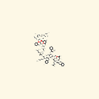 CCCC[C@@H](C(=O)N1C[C@H](O)C[C@@H]1C(=O)N[C@H](C=O)CC(=O)O)N(C)C(=O)[C@H](Cc1ccccc1)N(C)C(=O)[C@H](Cc1cc(F)c(F)c(F)c1)NC(=O)CSC[C@H](NC(=O)[C@H](CCCCN)NC(=O)[C@H](Cc1ccc(O)cc1)NC(=O)[C@H](Cc1c[nH]c2ccccc12)NC(=O)[C@H]1C[C@@H](O)CN1C(=O)[C@H](CCC(=O)O)NC(=O)C(Cc1ccccc1)N(C)C(=O)[C@@H](N)C(C)C)C(=O)NCC(N)=O